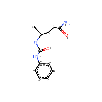 C[C@@H](CCC(N)=O)NC(=O)Nc1ccccc1